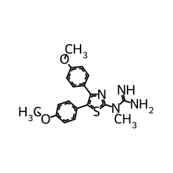 COc1ccc(-c2nc(N(C)C(=N)N)sc2-c2ccc(OC)cc2)cc1